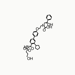 O=C(NS(=O)(=O)CCCO)c1ccc(-c2ccc(OCCN(C[C@H](O)c3ccccc3)C(=O)O)cc2)cc1C1CCCC1